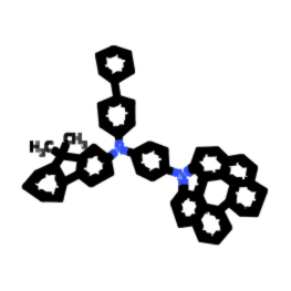 CC1(C)c2ccccc2-c2ccc(N(c3ccc(-c4ccccc4)cc3)c3ccc(-n4c5ccc6cccc7c6c5c5c6c(ccc8cccc-7c86)ccc54)cc3)cc21